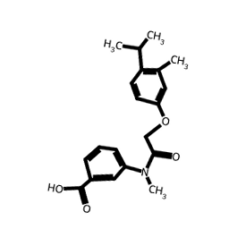 Cc1cc(OCC(=O)N(C)c2cccc(C(=O)O)c2)ccc1C(C)C